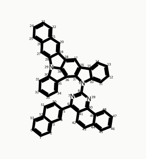 c1ccc2cc(-c3nc(-n4c5ccccc5c5cc6c7cc8ccccc8cc7n7c8ccccc8c(c54)c67)nc4c3ccc3ccccc34)ccc2c1